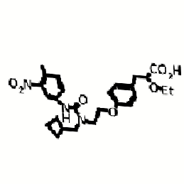 CCOC(Cc1ccc(OCCN(CC2CCC2)C(=O)Nc2ccc(C)c([N+](=O)[O-])c2)cc1)C(=O)O